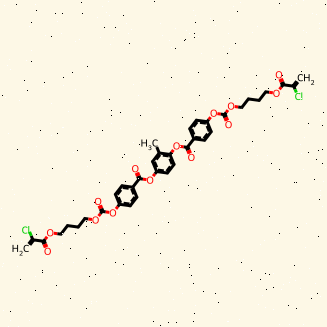 C=C(Cl)C(=O)OCCCCOC(=O)Oc1ccc(C(=O)Oc2ccc(OC(=O)c3ccc(OC(=O)OCCCCOC(=O)C(=C)Cl)cc3)c(C)c2)cc1